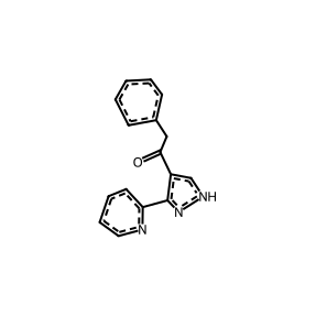 O=C(Cc1ccccc1)c1c[nH]nc1-c1ccccn1